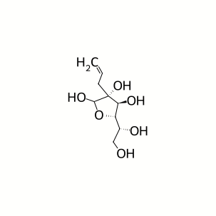 C=CC[C@]1(O)C(O)O[C@@H]([C@H](O)CO)[C@@H]1O